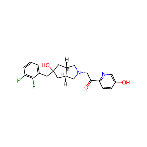 O=C(CN1C[C@@H]2CC(O)(Cc3cccc(F)c3F)C[C@@H]2C1)c1ccc(O)cn1